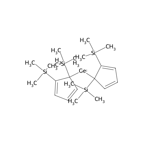 C[Si](C)(C)C1=CC=C[C]1([Ge][C]1([Si](C)(C)C)C=CC=C1[Si](C)(C)C)[Si](C)(C)C